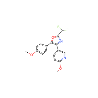 COc1ccc(-c2oc(C(F)F)nc2-c2ccc(OC)nc2)cc1